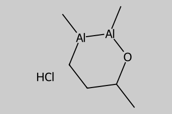 CC1C[CH2][Al]([CH3])[Al]([CH3])[O]1.Cl